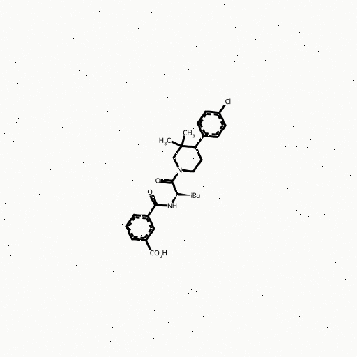 CC[C@H](C)[C@@H](NC(=O)c1cccc(C(=O)O)c1)C(=O)N1CCC(c2ccc(Cl)cc2)C(C)(C)C1